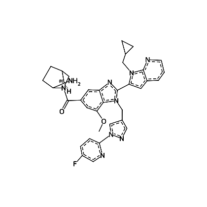 COc1cc(C(=O)N2CC3CCC2[C@@H]3N)cc2nc(-c3cc4cccnc4n3CC3CC3)n(Cc3cnn(-c4ccc(F)cn4)c3)c12